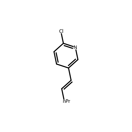 CCCC=Cc1ccc(Cl)nc1